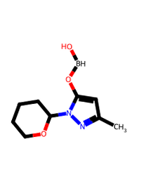 Cc1cc(OBO)n(C2CCCCO2)n1